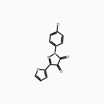 O=C1C(=O)N(c2ccc(Cl)cc2)N=C1c1ccco1